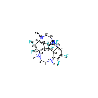 CN1CCN(C)c2c(F)c(F)c3c4c2C(F)(F)c2c1c(F)c(F)c(c2C4(F)F)N(C)CCN3C